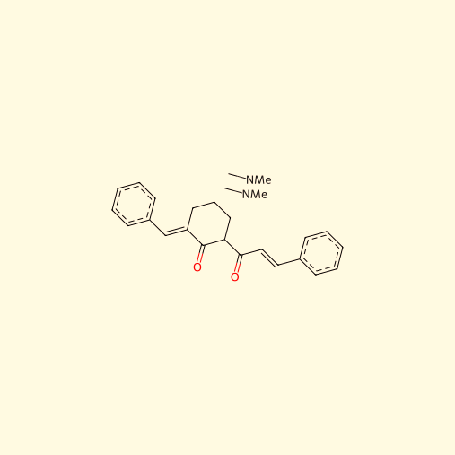 CNC.CNC.O=C(C=Cc1ccccc1)C1CCCC(=Cc2ccccc2)C1=O